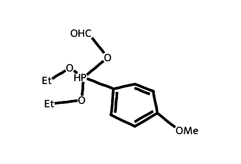 CCO[PH](OC=O)(OCC)c1ccc(OC)cc1